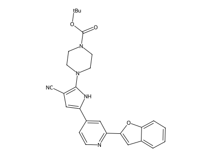 CC(C)(C)OC(=O)N1CCN(c2[nH]c(-c3ccnc(-c4cc5ccccc5o4)c3)cc2C#N)CC1